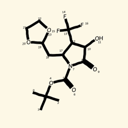 CC(C)(C)OC(=O)N1C(=O)C(O)C(C(F)(F)F)C1CC1OCCO1